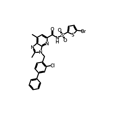 Cc1cc(C(=O)NS(=O)(=O)c2ccc(Br)s2)nc2c1nc(C)n2Cc1ccc(-c2ccccc2)cc1Cl